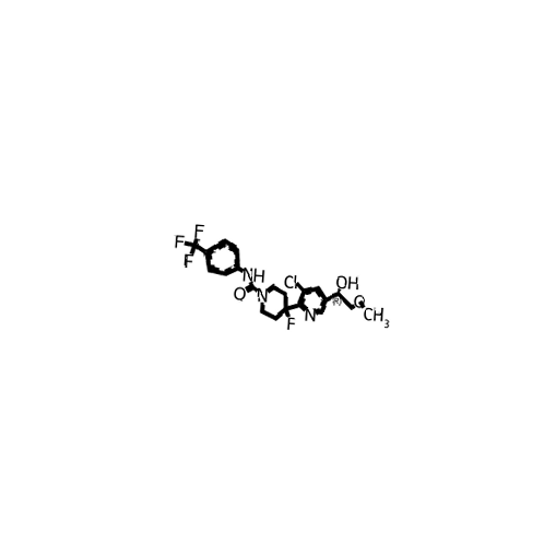 COC[C@H](O)c1cnc(C2(F)CCN(C(=O)Nc3ccc(C(F)(F)F)cc3)CC2)c(Cl)c1